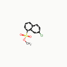 [CH2]OS(=O)(=O)c1cccc2ccc(Cl)cc12